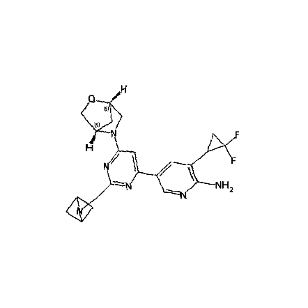 Nc1ncc(-c2cc(N3C[C@@H]4C[C@H]3CO4)nc(N3CC4CC3C4)n2)cc1C1CC1(F)F